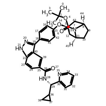 CC(C)(C)OC(=O)N1[C@@H]2CC[C@H]1C[C@@H](Oc1ccc(-c3n[nH]c4ccc(C(=O)N[C@H](c5ccccn5)C5CC5)cc34)cc1)C2